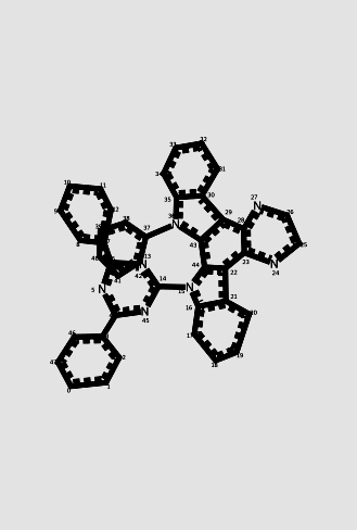 c1ccc(-c2nc(-c3ccccc3)nc(-n3c4ccccc4c4c5nccnc5c5c6ccccc6n(-c6ccccc6)c5c43)n2)cc1